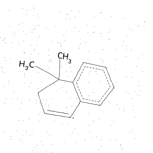 CC1(C)CC=[C]c2ccccc21